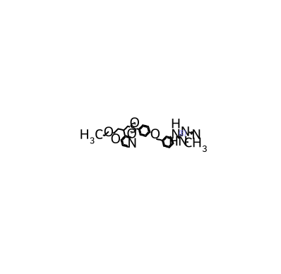 CCOC(=O)CC(CS(=O)(=O)c1ccc(OCc2cccc(N/C(=N/C#N)NC)c2)cc1)c1cccnc1